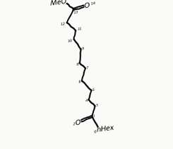 CCCCCCC(=O)CCCCCCCCCCC(=O)OC